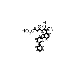 N#Cc1c(O)c(C(=O)CCC(=O)O)nc2c(-c3cccc(-c4ccccc4)c3)cccc12